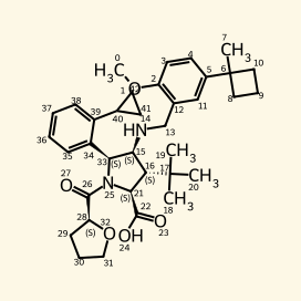 COc1ccc(C2(C)CCC2)cc1CN[C@H]1[C@H](C(C)(C)C)[C@@H](C(=O)O)N(C(=O)[C@@H]2CCCO2)[C@H]1c1ccccc1C1CC1